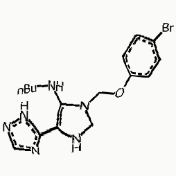 CCCCNC1=C(c2ncn[nH]2)NCN1COc1ccc(Br)cc1